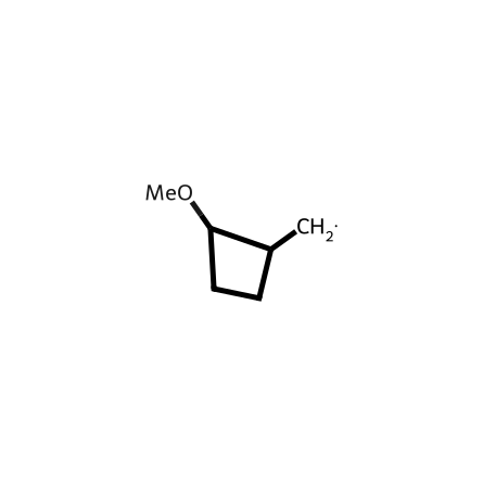 [CH2]C1CCC1OC